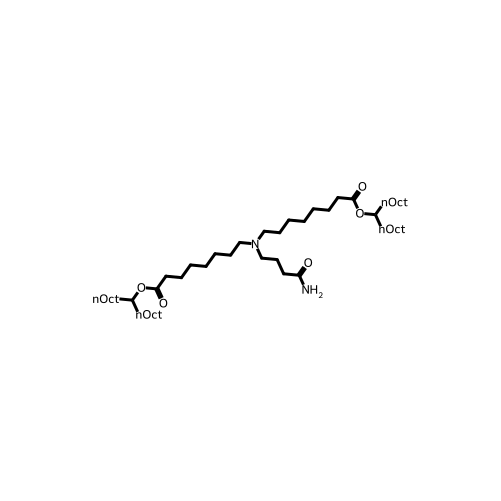 CCCCCCCCC(CCCCCCCC)OC(=O)CCCCCCCN(CCCCCCCC(=O)OC(CCCCCCCC)CCCCCCCC)CCCC(N)=O